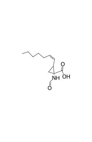 CCCCC/C=C\C1C[C@]1(NC=O)C(=O)O